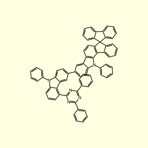 c1ccc(-c2nc(-c3ccccc3)nc(-c3cccc4c3c3cc(-c5ccc6c(c5)c5ccc7c(c5n6-c5ccccc5)-c5ccccc5C75c6ccccc6-c6ccccc65)ccc3n4-c3ccccc3)n2)cc1